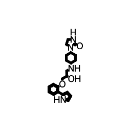 O=C1NCCN1[C@H]1CC[C@@H](NCC(O)COc2ccccc2-c2ccc[nH]2)CC1